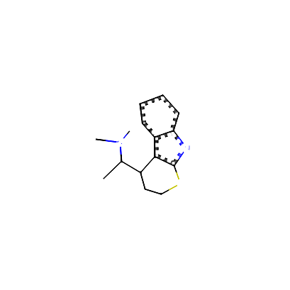 CC(C1CCSc2[nH]c3ccccc3c21)N(C)C